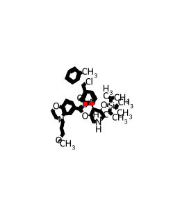 COCCCN1CCOc2ccc(C(O[C@H]3CNC[C@@H](O[Si](C(C)C)(C(C)C)C(C)C)[C@@H]3c3ccc(CCl)cc3)=S(=O)=O)cc21.Cc1ccccc1